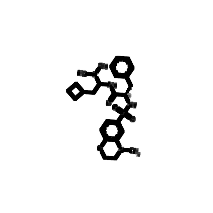 CN1CCOc2ccc(S(=O)(=O)N[C@@H](Cc3ccccc3)C(=O)NC(CC3CCC3)B(O)O)cc21